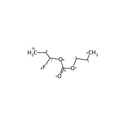 CCCOC(=O)OC(F)CC